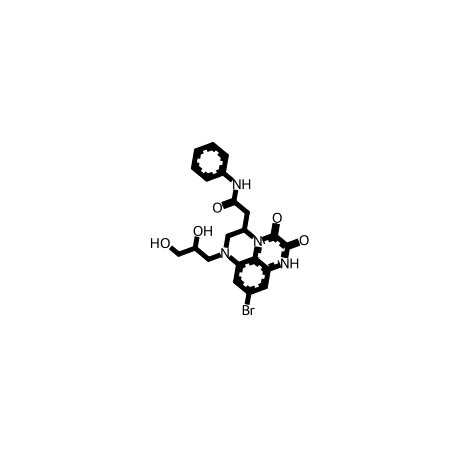 O=C(CC1CN(CC(O)CO)c2cc(Br)cc3[nH]c(=O)c(=O)n1c23)Nc1ccccc1